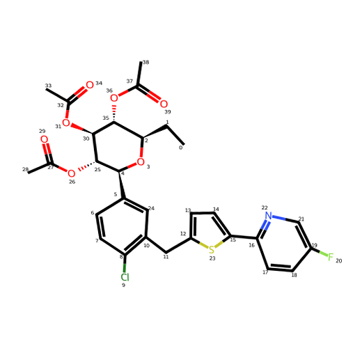 CC[C@H]1O[C@@H](c2ccc(Cl)c(Cc3ccc(-c4ccc(F)cn4)s3)c2)[C@H](OC(C)=O)[C@@H](OC(C)=O)[C@@H]1OC(C)=O